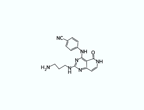 N#Cc1ccc(Nc2nc(NCCCN)nc3cc[nH]c(=O)c23)cc1